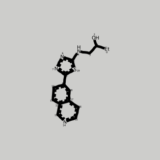 CCC(O)CNc1nnc(-c2ccc3cnccc3c2)s1